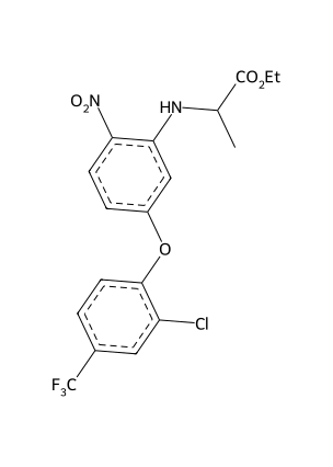 CCOC(=O)C(C)Nc1cc(Oc2ccc(C(F)(F)F)cc2Cl)ccc1[N+](=O)[O-]